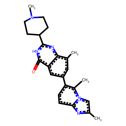 Cc1cn2c(C)c(-c3cc(C)c4nc(C5CCN(C)CC5)[nH]c(=O)c4c3)ccc2n1